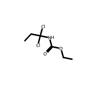 CCOC(=O)NC(Cl)(Cl)CC